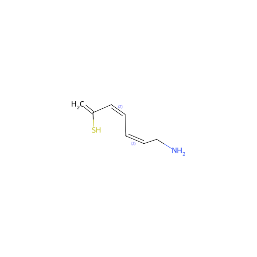 C=C(S)/C=C\C=C/CN